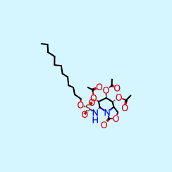 CCCCCCCCCCCCOS(=O)(=O)N[C@@H]1C(OC(C)=O)[C@@H](OC(C)=O)[C@H](OC(C)=O)C2COC(=O)N21